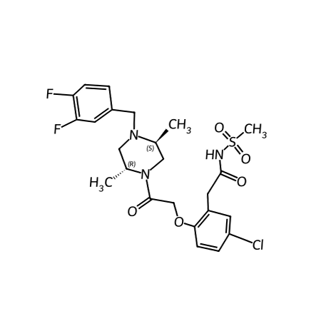 C[C@@H]1CN(Cc2ccc(F)c(F)c2)[C@@H](C)CN1C(=O)COc1ccc(Cl)cc1CC(=O)NS(C)(=O)=O